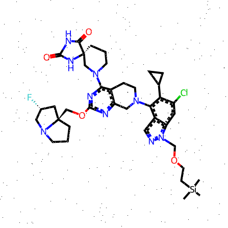 C[Si](C)(C)CCOCn1ncc2c(N3CCc4c(nc(OC[C@@]56CCCN5C[C@H](F)C6)nc4N4CCC[C@]5(C4)NC(=O)NC5=O)C3)c(C3CC3)c(Cl)cc21